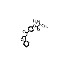 C[C@H](N)C(=O)Oc1ccc(C(=O)CC2COc3ccccc32)cc1